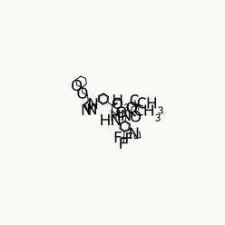 CC(C)(C)OC(=O)Nc1cc(N2CCC2)c(C(F)(F)F)cc1NC(=O)CC(=O)c1cccc(-n2nncc2COC2CCCCO2)c1